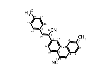 Cc1ccc(C=C(C#N)c2ccc(C(C#N)=Cc3ccc(C)cc3)cc2)cc1